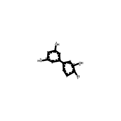 CCc1ccc(-c2cc(O)cc(O)c2)cc1O